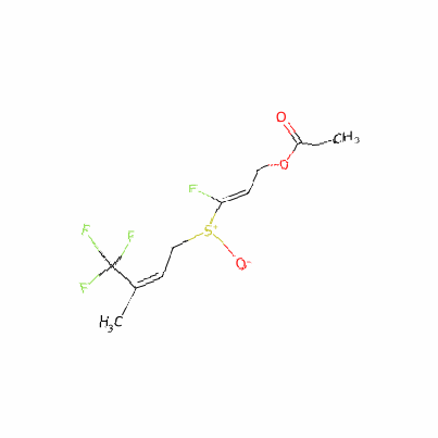 CC(=O)OC/C=C(\F)[S+]([O-])CC=C(C)C(F)(F)F